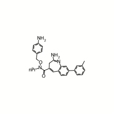 CCCN(OCc1ccc(N)cc1)C(=O)C1=Cc2ccc(-c3cccc(C)c3)cc2N=C(N)C1